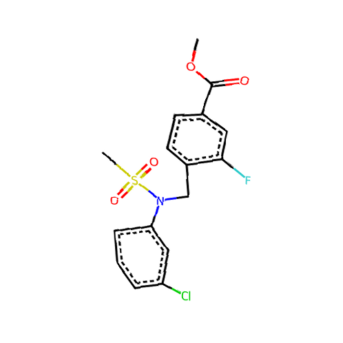 COC(=O)c1ccc(CN(c2cccc(Cl)c2)S(C)(=O)=O)c(F)c1